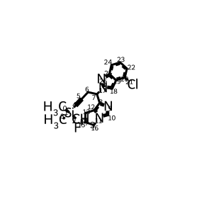 C[Si](C)(C)C#CCC(c1ncn2c1C[C@@H](F)C2)n1cc2c(Cl)cccc2n1